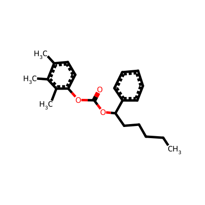 CCCCCC(OC(=O)Oc1ccc(C)c(C)c1C)c1ccccc1